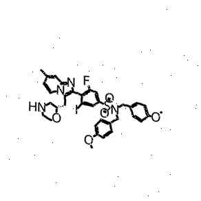 COc1ccc(CN(Cc2ccc(OC)cc2)S(=O)(=O)c2cc(F)c(-c3nc4cc(C)ccn4c3C[C@H]3CNCCO3)c(I)c2)cc1